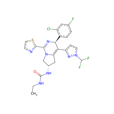 CCNC(=O)N[C@H]1CC2=C(c3ccn(C(F)F)n3)[C@H](c3ccc(F)cc3Cl)N=C(c3nccs3)N2C1